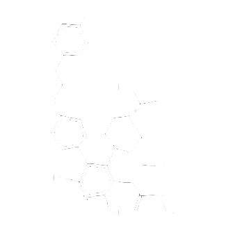 CC(C)=C1CCN(c2c(-c3ccc(OCCc4ccc(F)cc4)cc3)c(C)nc(C)c2[C@H](OC(C)(C)C)C(=O)OC(C)C)CC1